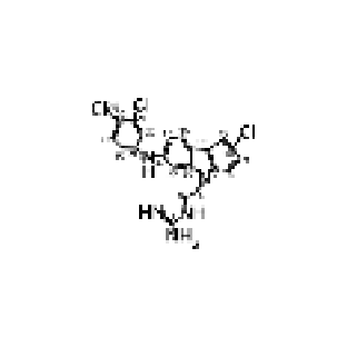 N=C(N)NCCn1c2ccc(Cl)cc2c2ccc(NC3C=C(Cl)C(Cl)=CC3)cc21